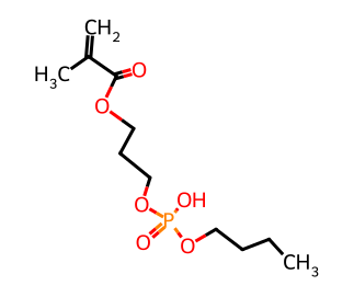 C=C(C)C(=O)OCCCOP(=O)(O)OCCCC